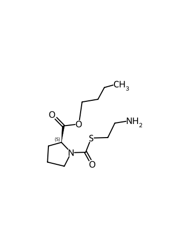 CCCCOC(=O)[C@@H]1CCCN1C(=O)SCCN